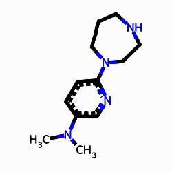 CN(C)c1ccc(N2CCCNCC2)nc1